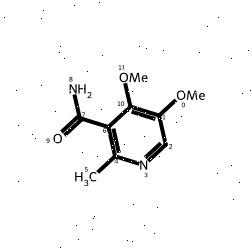 COc1cnc(C)c(C(N)=O)c1OC